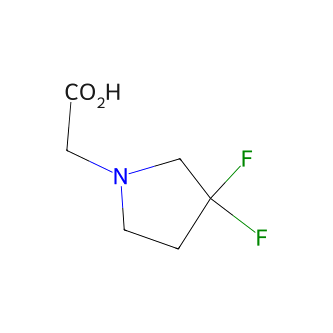 O=C(O)CN1CCC(F)(F)C1